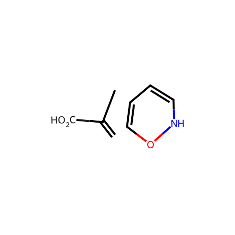 C1=CNOC=C1.C=C(C)C(=O)O